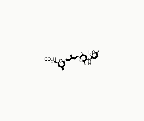 C=C1C[C@@H](CC(=O)O)O[C@H](/C=C/C(C)=C/C[C@@H]2O[C@H](C)[C@H](NC(=O)/C=C\[C@H](C)O)C[C@@H]2C)C1